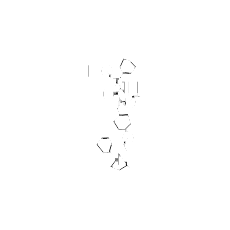 CCO[C@H](Cc1ccc(OCCn2c(C)ccc2-c2ccccc2)cc1)C(=O)N[C@@H](CO)c1ccccc1